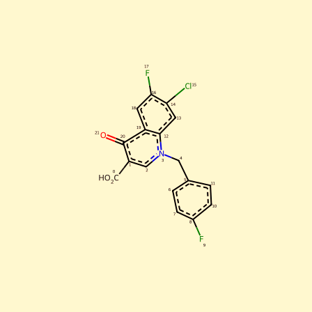 O=C(O)c1cn(Cc2ccc(F)cc2)c2cc(Cl)c(F)cc2c1=O